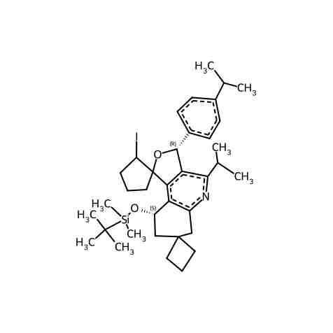 CC(C)c1ccc([C@H]2OC3(CCCC3I)c3c2c(C(C)C)nc2c3[C@@H](O[Si](C)(C)C(C)(C)C)CC3(CCC3)C2)cc1